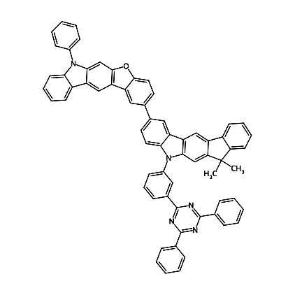 CC1(C)c2ccccc2-c2cc3c4cc(-c5ccc6oc7cc8c(cc7c6c5)c5ccccc5n8-c5ccccc5)ccc4n(-c4cccc(-c5nc(-c6ccccc6)nc(-c6ccccc6)n5)c4)c3cc21